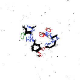 COc1ccc(CNc2nc(C)nc(C)c2Cl)cc1Oc1ccc2ncc([N+](=O)[O-])n2n1